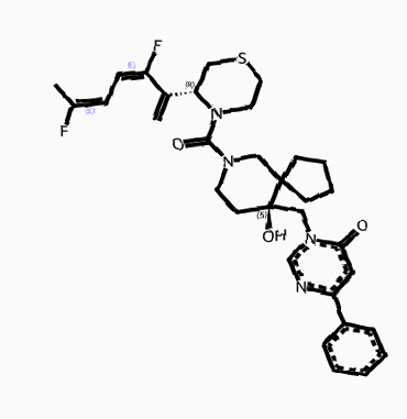 C=C(/C(F)=C\C=C(/C)F)[C@@H]1CSCCN1C(=O)N1CC[C@@](O)(Cn2cnc(-c3ccccc3)cc2=O)C2(CCCC2)C1